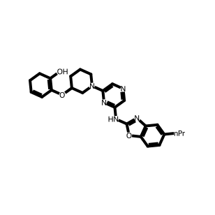 CCCc1ccc2oc(Nc3cncc(N4CCCC(OC5=C(O)CCC=C5)C4)n3)nc2c1